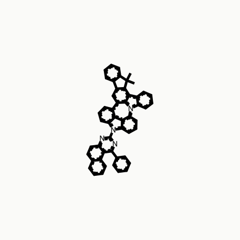 CC1(C)c2ccccc2-c2cc3c4cccc5c4c4c(cccc4n4c6ccccc6c(c21)c34)n5-c1nc(-c2ccccc2)c2c(ccc3ccccc32)n1